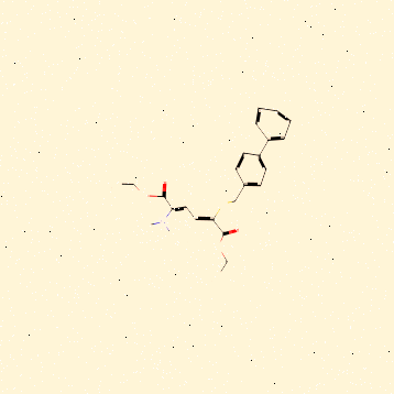 CCOC(=O)/C(=C/C=C(/C(=O)OCC)N(C)C)SCc1ccc(-c2ccccc2)cc1